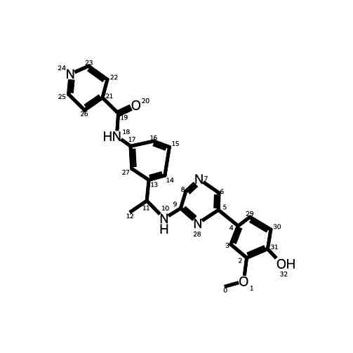 COc1cc(-c2cncc(NC(C)c3cccc(NC(=O)c4ccncc4)c3)n2)ccc1O